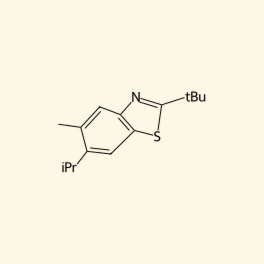 Cc1cc2nc(C(C)(C)C)sc2cc1C(C)C